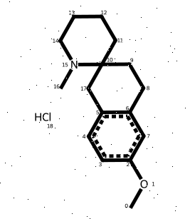 COc1ccc2c(c1)CCC1(CCCCN1C)C2.Cl